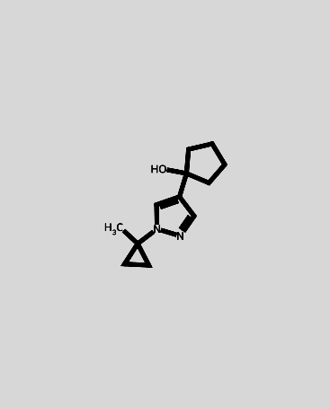 CC1(n2cc(C3(O)CCCC3)cn2)CC1